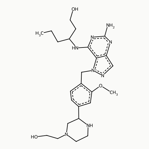 CCCC(CCO)Nc1nc(N)nc2cnn(Cc3ccc(C4CN(CCO)CCN4)cc3OC)c12